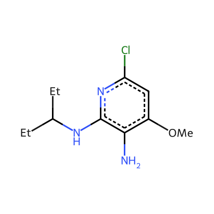 CCC(CC)Nc1nc(Cl)cc(OC)c1N